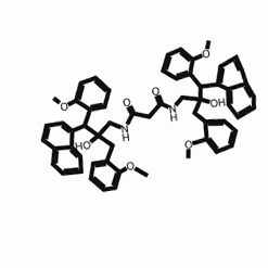 COc1ccccc1CC(O)(CNC(=O)CC(=O)NCC(O)(Cc1ccccc1OC)C(c1ccccc1OC)c1cccc2ccccc12)C(c1ccccc1OC)c1cccc2ccccc12